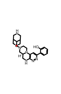 Oc1ccccc1-c1cc2c(nn1)NC[C@H]1CN(CC3C4CNCC3COC4)CCN21